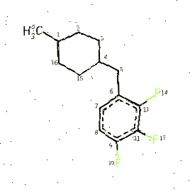 CC1CCC(Cc2ccc(F)c(F)c2F)CC1